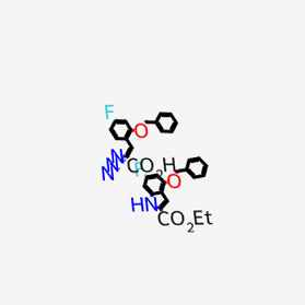 CCOC(=O)c1cc2c(OCc3ccccc3)cc(F)cc2[nH]1.[N-]=[N+]=NC(=Cc1ccc(F)cc1OCc1ccccc1)C(=O)O